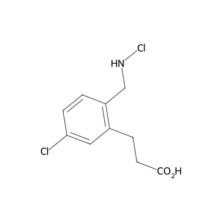 O=C(O)CCc1cc(Cl)ccc1CNCl